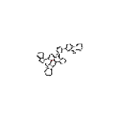 c1cc(-c2ccc3c(c2)sc2ccccc23)cc(N(c2ccc(-c3cccc4ccccc34)cc2)c2ccccc2-c2ccc3sc4ccccc4c3c2)c1